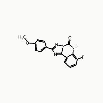 COc1ccc(-c2nc3c4cccc(F)c4[nH]c(=O)n3n2)cc1